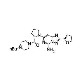 CCCCN1CCN(C(=O)[C@@H]2CCCN2c2cc3nc(-c4ccco4)nn3c(N)n2)CC1